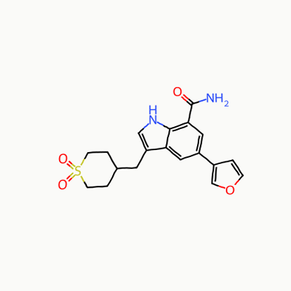 NC(=O)c1cc(-c2ccoc2)cc2c(CC3CCS(=O)(=O)CC3)c[nH]c12